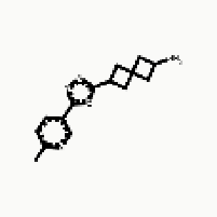 Cc1ccc(-c2nnc(C3CC4(CC(N)C4)C3)o2)cn1